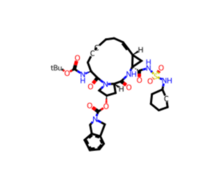 CC(C)(C)OC(=O)N[C@H]1CCCCC/C=C\[C@@H]2C[C@@]2(C(=O)NS(=O)(=O)NC2CCCCC2)NC(=O)[C@@H]2C[C@@H](OC(=O)N3Cc4ccccc4C3)CN2C1=O